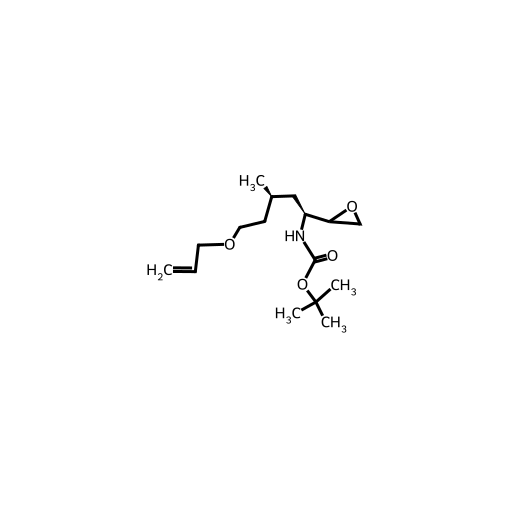 C=CCOCC[C@@H](C)C[C@H](NC(=O)OC(C)(C)C)C1CO1